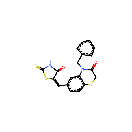 O=C1NC(=S)SC1=Cc1ccc2c(c1)N(Cc1ccccc1)C(=O)CS2